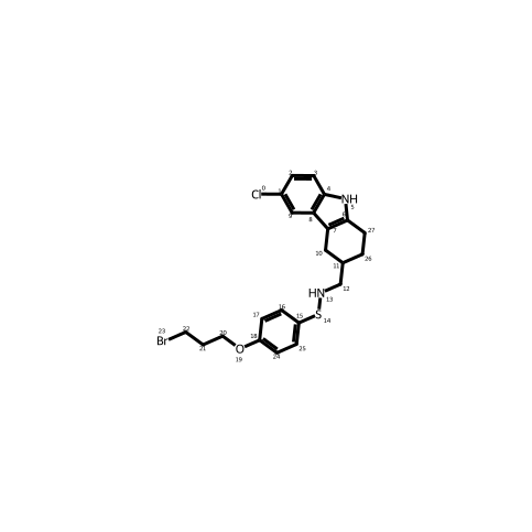 Clc1ccc2[nH]c3c(c2c1)CC(CNSc1ccc(OCCCBr)cc1)CC3